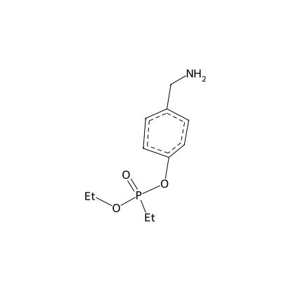 CCOP(=O)(CC)Oc1ccc(CN)cc1